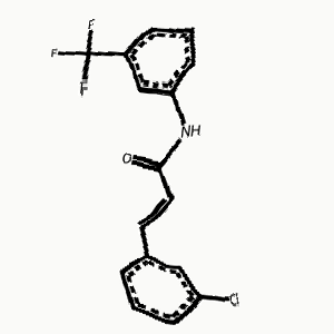 O=C(C=Cc1cccc(Cl)c1)Nc1cccc(C(F)(F)F)c1